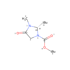 CN1C(=O)CN(C(=O)OC(C)(C)C)[C@H]1C(C)(C)C